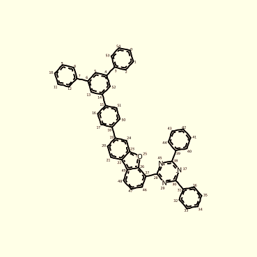 c1ccc(-c2cc(-c3ccccc3)cc(-c3ccc(-c4ccc5c(c4)oc4c(-c6nc(-c7ccccc7)nc(-c7ccccc7)n6)cccc45)cc3)c2)cc1